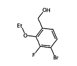 CCOc1c(CO)ccc(Br)c1F